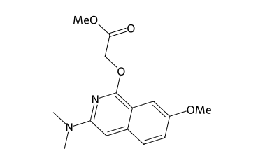 COC(=O)COc1nc(N(C)C)cc2ccc(OC)cc12